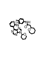 Cc1ccc(NC(=O)CC2CCCCCO2)cc1Nc1ncccc1-c1ncnc2c1ncn2C1CCCCO1